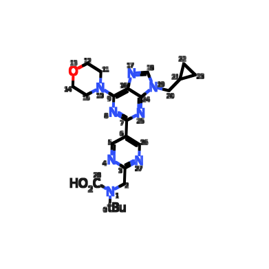 CC(C)(C)N(Cc1ncc(-c2nc(N3CCOCC3)c3ncn(CC4CC4)c3n2)cn1)C(=O)O